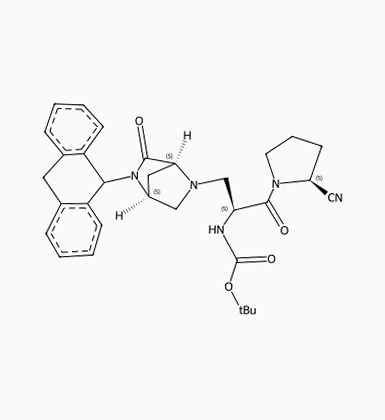 CC(C)(C)OC(=O)N[C@@H](CN1C[C@@H]2C[C@H]1C(=O)N2C1c2ccccc2Cc2ccccc21)C(=O)N1CCC[C@H]1C#N